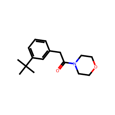 CC(C)(C)c1cccc(CC(=O)N2CCOCC2)c1